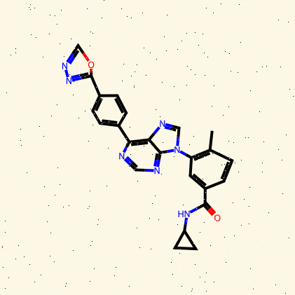 Cc1ccc(C(=O)NC2CC2)cc1-n1cnc2c(-c3ccc(-c4nnco4)cc3)ncnc21